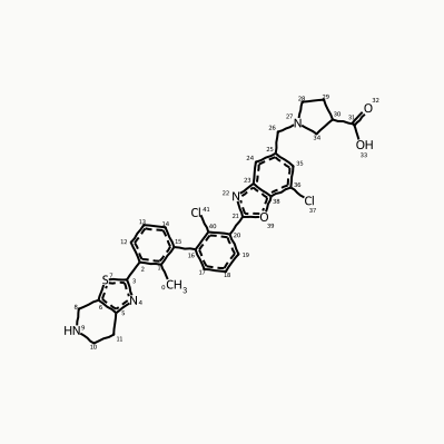 Cc1c(-c2nc3c(s2)CNCC3)cccc1-c1cccc(-c2nc3cc(CN4CCC(C(=O)O)C4)cc(Cl)c3o2)c1Cl